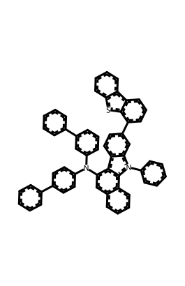 c1ccc(-c2ccc(N(c3cccc(-c4ccccc4)c3)c3cc4ccccc4c4c3c3ccc(-c5cccc6c5sc5ccccc56)cc3n4-c3ccccc3)cc2)cc1